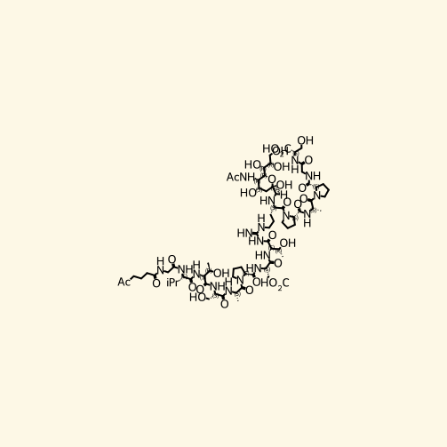 [3H]C(N[C@@H](CCCNC(=N)NC(=O)[C@@H](NC(=O)[C@H](CC(=O)O)NC(=O)[C@@H]1CCCN1C(=O)[C@H](C)NC(=O)[C@H](CO)NC(=O)[C@@H](NC(=O)[C@@H](NC(=O)CNC(=O)CCCC(C)=O)C(C)C)[C@@H](C)O)[C@@H](C)O)C(=O)N1CCC[C@H]1C(=O)N[C@@H](C)C(=O)N1CCC[C@H]1C(=O)NCC(=O)N[C@@H](CO)C(=O)O)[C@]1(O)C[C@H](O)[C@@H](NC(C)=O)[C@H]([C@H](O)[C@H](O)CO)O1